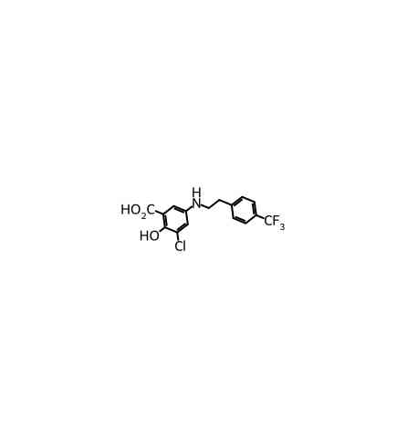 O=C(O)c1cc(NCCc2ccc(C(F)(F)F)cc2)cc(Cl)c1O